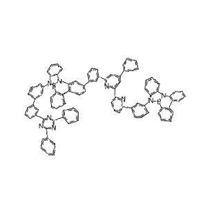 c1ccc(-c2cc(-c3cccc(-c4ccc5c(c4)N4B(c6ccccc6-5)N(c5cccc(-c6cccc(-c7nc(-c8ccccc8)nc(-c8ccccc8)n7)c6)c5)c5ccccc54)c3)nc(-c3cccc(-c4cccc(N5B6c7ccccc7-c7ccccc7N6c6ccccc65)c4)n3)c2)cc1